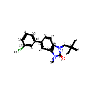 Cn1c(=O)n(CC(C)(C)C)c2ccc(-c3cccc(F)c3)cc21